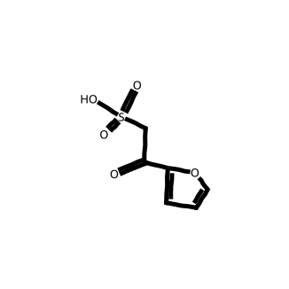 O=C(CS(=O)(=O)O)c1ccco1